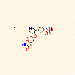 CS(=O)(=O)Nc1ccc(-c2cncc3cc(/C=C4/SC(=O)NC4=O)oc23)cc1